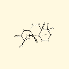 C=C1C[C@]23CC[C@H]1C[C@H]2[C@]1(C)CCCC(C)(C)[C@H]1CC3